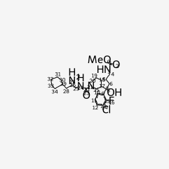 COC(=O)NCCCC(O)(c1cccc(Cl)c1F)C1CCCN(C(=O)NCC(N)CC2CCCCC2)C1